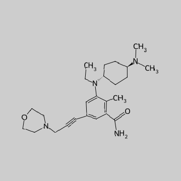 CCN(c1cc(C#CCN2CCOCC2)cc(C(N)=O)c1C)[C@H]1CC[C@H](N(C)C)CC1